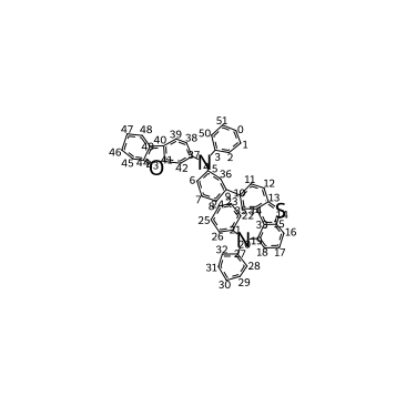 c1ccc(N(c2cccc(-c3ccc4sc5cccc(N(c6ccccc6)c6ccccc6)c5c4c3)c2)c2ccc3c(c2)oc2ccccc23)cc1